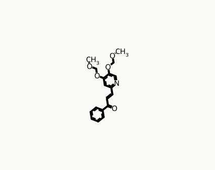 COCOc1cnc(C=CC(=O)c2ccccc2)cc1OCOC